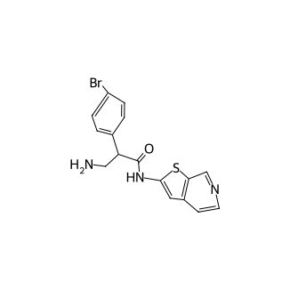 NCC(C(=O)Nc1cc2ccncc2s1)c1ccc(Br)cc1